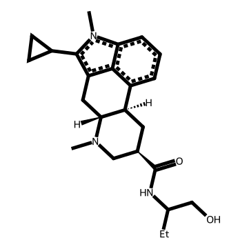 CCC(CO)NC(=O)[C@@H]1C[C@@H]2c3cccc4c3c(c(C3CC3)n4C)C[C@H]2N(C)C1